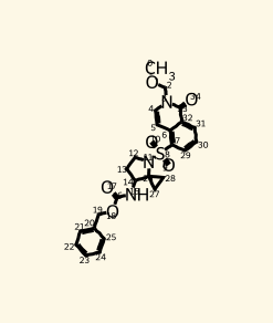 COCn1ccc2c(S(=O)(=O)N3CCC(NC(=O)OCc4ccccc4)C34CC4)cccc2c1=O